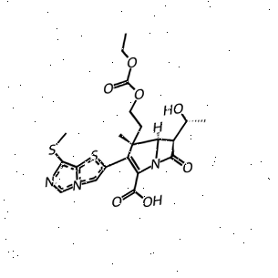 CCOC(=O)OCC[C@@]1(C)C(c2cn3cnc(SC)c3s2)=C(C(=O)O)N2C(=O)[C@H]([C@@H](C)O)[C@@H]21